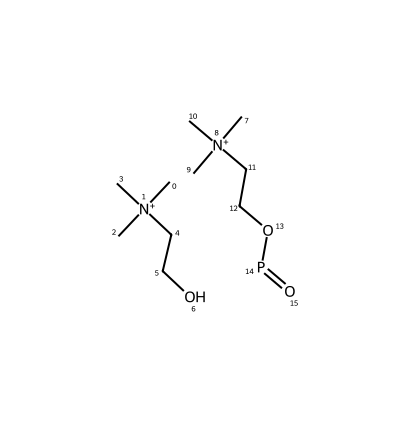 C[N+](C)(C)CCO.C[N+](C)(C)CCOP=O